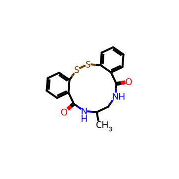 CC1CNC(=O)c2ccccc2SSc2ccccc2C(=O)N1